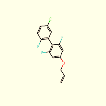 C=CCOc1cc(F)c(-c2cc(Cl)[c]cc2F)c(F)c1